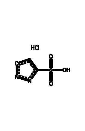 Cl.O=S(=O)(O)c1conn1